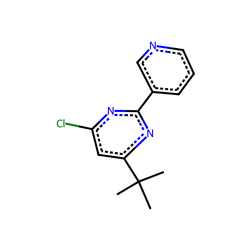 CC(C)(C)c1cc(Cl)nc(-c2cccnc2)n1